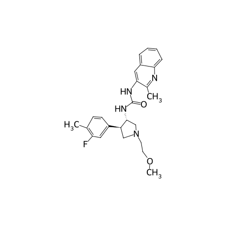 COCCN1C[C@@H](NC(=O)Nc2cc3ccccc3nc2C)[C@H](c2ccc(C)c(F)c2)C1